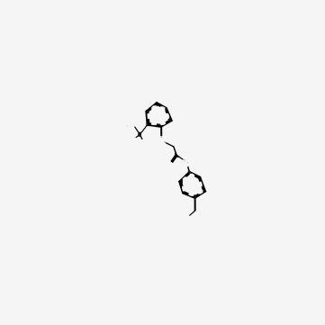 CC(C)(C)c1ccccc1OCC(=O)Nc1ccc(CO)cc1